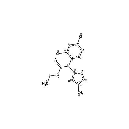 CCOC(=O)C(c1ccc(Cl)cc1Cl)n1ccc(C)n1